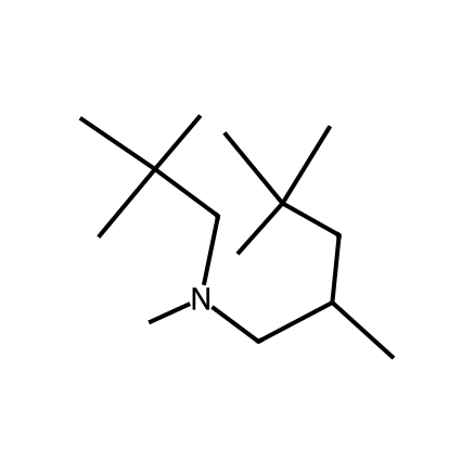 CC(CN(C)CC(C)(C)C)CC(C)(C)C